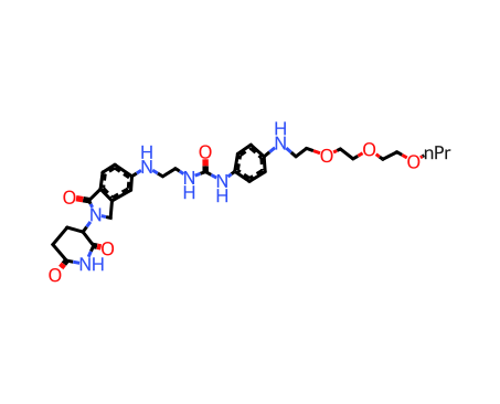 CCCOCCOCCOCCNc1ccc(NC(=O)NCCNc2ccc3c(c2)CN(C2CCC(=O)NC2=O)C3=O)cc1